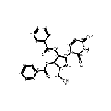 O=C(OC1C(OC(=O)c2ccccc2)[C@@H](n2ccc(=O)[nH]c2=O)O[C@H]1CO)c1ccccc1